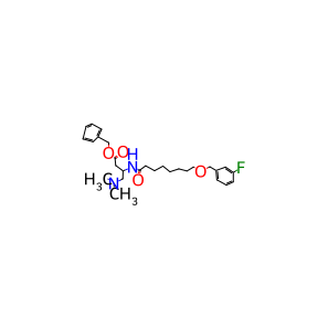 CN(C)CC(CC(=O)OCc1ccccc1)NC(=O)CCCCCCCOCc1cccc(F)c1